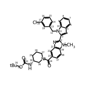 Cn1c(-c2cc3ccccc3n2Cc2cccc(Cl)c2)nc2cc(C(=O)N3CCC[C@@H](NC(=O)OC(C)(C)C)C3)ccc21